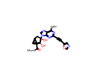 CNC(=O)C12CC1C[C@](O)(n1cnc3c(NC)nc(C#Cc4cnco4)nc31)[C@@H]2O